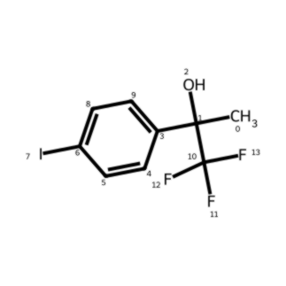 CC(O)(c1ccc(I)cc1)C(F)(F)F